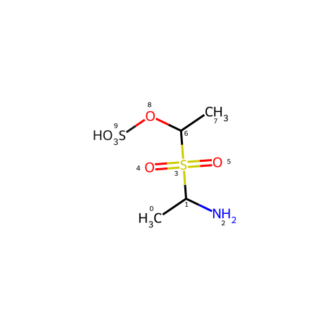 CC(N)S(=O)(=O)C(C)OS(=O)(=O)O